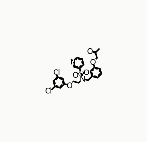 CC(=O)COc1cccc(CN(CCOc2cc(Cl)cc(Cl)c2)S(=O)(=O)c2cccnc2)c1